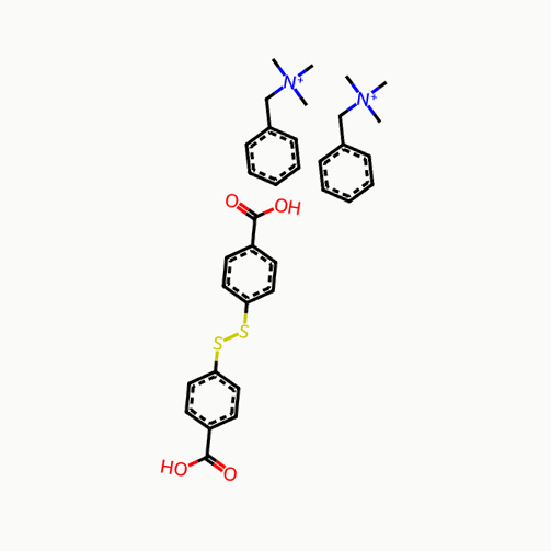 C[N+](C)(C)Cc1ccccc1.C[N+](C)(C)Cc1ccccc1.O=C(O)c1ccc(SSc2ccc(C(=O)O)cc2)cc1